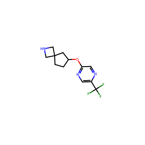 FC(F)(F)c1cnc(OC2CCC3(CNC3)C2)cn1